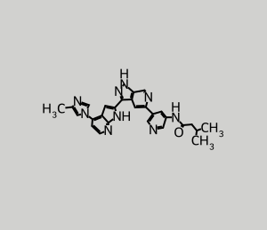 Cc1cn(-c2ccnc3[nH]c(-c4n[nH]c5cnc(-c6cncc(NC(=O)CC(C)C)c6)cc45)cc23)cn1